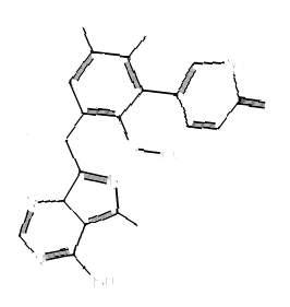 CC(C)Oc1c([C@@H](C)C2=NC(Cl)=C3C(N)=NC=NC23)cc(Cl)c(F)c1-c1ccc(=O)[nH]c1